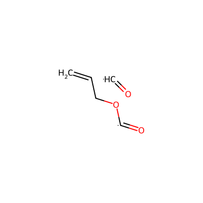 C=CCO[C]=O.[CH]=O